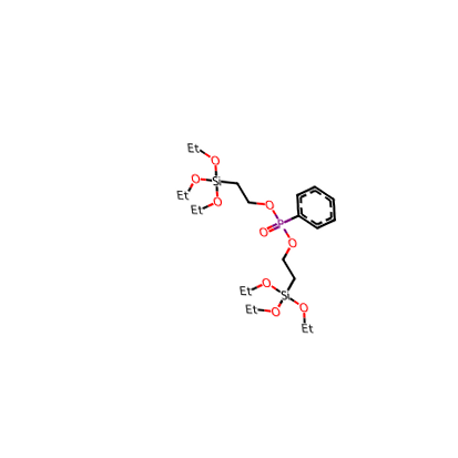 CCO[Si](CCOP(=O)(OCC[Si](OCC)(OCC)OCC)c1ccccc1)(OCC)OCC